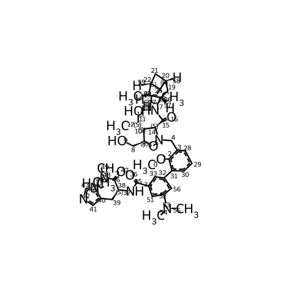 COc1c(CN2O[C@@H](CO)[C@H]([C@H](C)O)[C@H]2C(=O)N[C@H]2C[C@H]3C[C@@H]([C@@H]2C)C3(C)C)cccc1-c1cc(C(=O)N[C@@H](Cc2cncn2C)C(=O)N(C)C)cc(N(C)C)c1